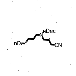 CCCCCCCCCCCCCN(CCCC#N)CCCCCCCCCC